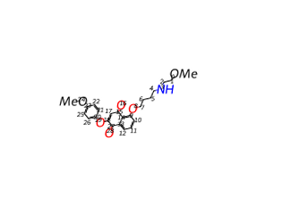 COCCNCCCCOc1cccc2c1C(=O)C=C(Oc1ccc(OC)cc1)C2=O